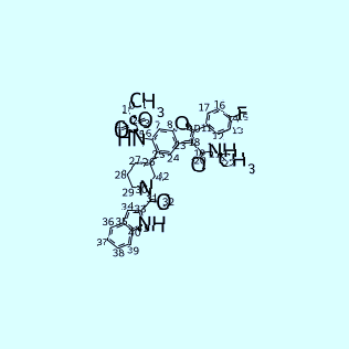 CCS(=O)(=O)Nc1cc2oc(-c3ccc(F)cc3)c(C(=O)NC)c2cc1C1CCCN(C(=O)c2cc3ccccc3[nH]2)C1